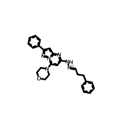 C(/CCc1ccccc1)=N\Nc1cc(N2CCOCC2)n2nc(-c3ccccc3)cc2n1